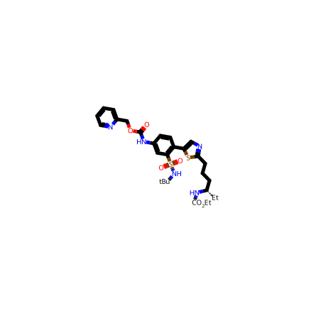 CCOC(=O)N[C@@H](CC)CCCc1ncc(-c2ccc(NC(=O)OCc3ccccn3)cc2S(=O)(=O)NC(C)(C)C)s1